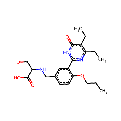 CCCOc1ccc(CNC(CO)C(=O)O)cc1-c1nc(CC)c(CC)c(=O)[nH]1